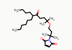 CCCCCCC(CCCC)C(=O)CCC(C)(C)OCCC(C)(C)N1C(=O)C=CC1=O